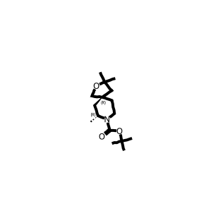 C[C@@H]1C[C@@]2(CCN1C(=O)OC(C)(C)C)COC(C)(C)C2